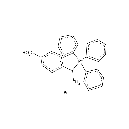 CC(c1ccc(C(=O)O)cc1)[P+](c1ccccc1)(c1ccccc1)c1ccccc1.[Br-]